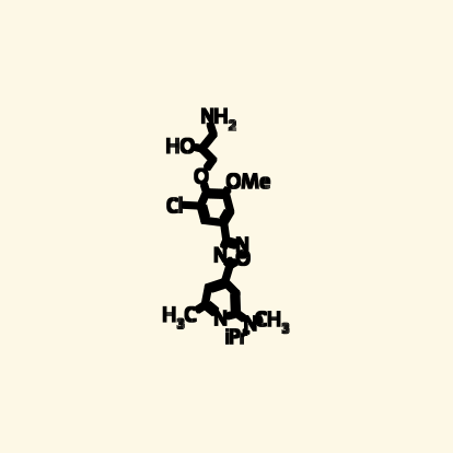 COc1cc(-c2noc(-c3cc(C)nc(N(C)C(C)C)c3)n2)cc(Cl)c1OCC(O)CN